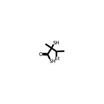 CCC(C)C(C)(S)C(=O)S